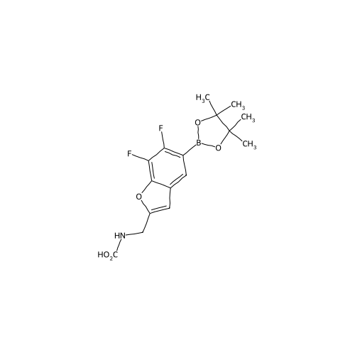 CC1(C)OB(c2cc3cc(CNC(=O)O)oc3c(F)c2F)OC1(C)C